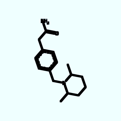 CC1CCCC(C)N1Cc1ccc(CC(N)=O)cc1